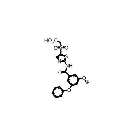 CC(C)Oc1cc(Oc2ccccc2)cc(C(=O)Nc2ncc(S(=O)(=O)CC(=O)O)s2)c1